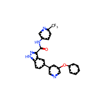 O=C(Nc1ccc(C(F)(F)F)nc1)c1n[nH]c2ccc(-c3cncc(Oc4ccccc4)c3)cc12